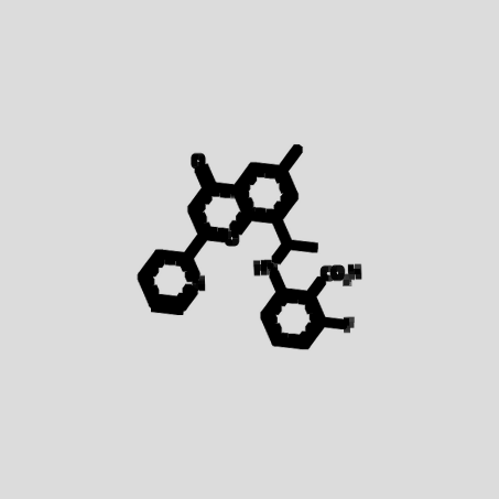 Cc1cc(C(C)Nc2cccc(F)c2C(=O)O)c2oc(-c3ccc#cn3)cc(=O)c2c1